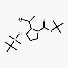 C[C@H](N)[C@@H]1[C@@H](O[Si](C)(C)C(C)(C)C)CCN1C(=O)OC(C)(C)C